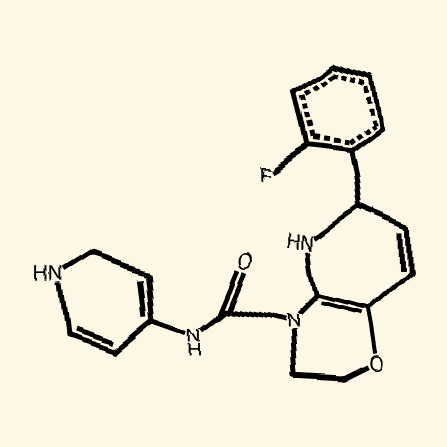 O=C(NC1=CCNC=C1)N1CCOC2=C1NC(c1ccccc1F)C=C2